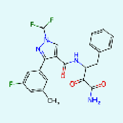 Cc1cc(F)cc(-c2nn(C(F)F)cc2C(=O)NC(Cc2ccccc2)C(=O)C(N)=O)c1